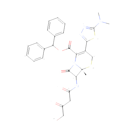 CN(C)c1nnc(C2=C(C(=O)OC(c3ccccc3)c3ccccc3)N3C(=O)C(NC(=O)CC(=O)CBr)[C@H]3SC2)s1